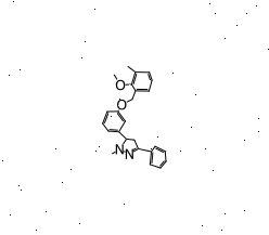 COc1c(C)cccc1COc1cccc(C2CC(c3ccccc3)=NN2C)c1